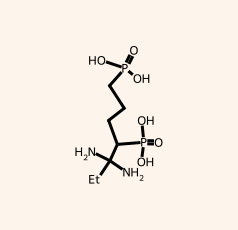 CCC(N)(N)C(CCCP(=O)(O)O)P(=O)(O)O